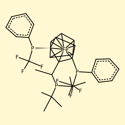 CC(P(C(C)(C)C)C(C)(C)C)[C]12[C]3(P(c4ccccc4)C(F)(F)F)[CH]4[CH]5[C@@]1(P(c1ccccc1)C(F)(F)F)[Fe]45321678[CH]2[CH]1[CH]6[CH]7[CH]28